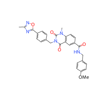 COc1ccc(CNC(=O)c2ccc3c(c2)c(=O)n(Cc2ccc(-c4nc(C)no4)cc2)c(=O)n3C)cc1